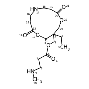 CCC1(COC(=O)CCNC)CCC(=O)CCNCCC(=O)OC1